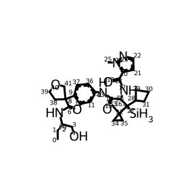 CC[C@H](CO)NC(=O)C1(c2ccc(NC(=O)[C@@H](NC(=O)c3ccnn3C)C([SiH3])(C3CCC3)C3(C)CC3)cc2)CCOC1